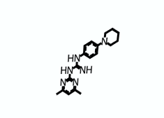 Cc1cc(C)nc(NC(=N)Nc2ccc(N3CCCCC3)cc2)n1